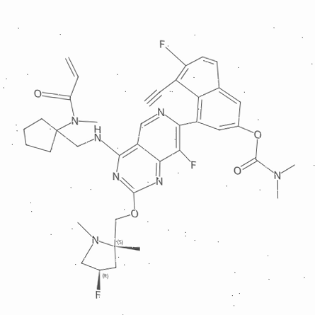 C#Cc1c(F)ccc2cc(OC(=O)N(C)C)cc(-c3ncc4c(NCC5(N(C)C(=O)C=C)CCCC5)nc(OC[C@]5(C)C[C@@H](F)CN5C)nc4c3F)c12